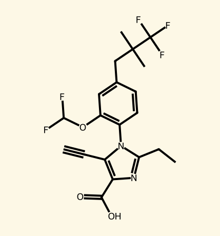 C#Cc1c(C(=O)O)nc(CC)n1-c1ccc(CC(C)(C)C(F)(F)F)cc1OC(F)F